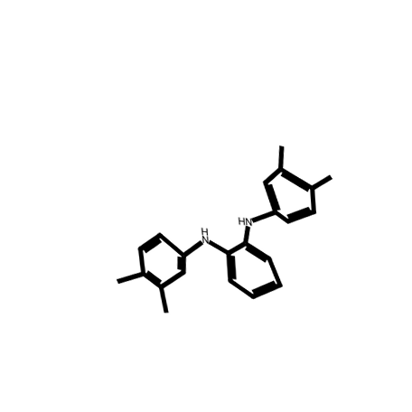 Cc1ccc(Nc2ccccc2Nc2ccc(C)c(C)c2)cc1C